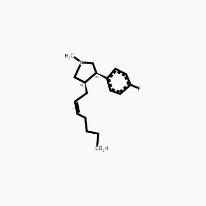 CN1C[C@H](C/C=C\CCCC(=O)O)[C@H](c2ccc(F)cc2)C1